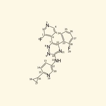 Fc1cnccc1-c1nnc(Nc2ccc(C3CC3)nc2)nc1-c1ccccc1F